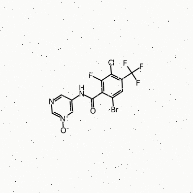 O=C(Nc1cnc[n+]([O-])c1)c1c(Br)cc(C(F)(F)F)c(Cl)c1F